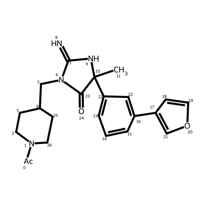 CC(=O)N1CCC(CN2C(=N)NC(C)(c3cccc(-c4ccoc4)c3)C2=O)CC1